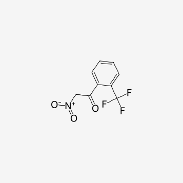 O=C(C[N+](=O)[O-])c1ccccc1C(F)(F)F